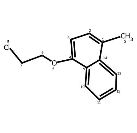 Cc1ccc(OCCCl)c2ccccc12